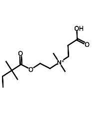 CCC(C)(C)C(=O)OCC[N+](C)(C)CCC(=O)O